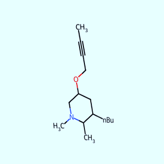 CC#CCOC1CC(CCCC)C(C)N(C)C1